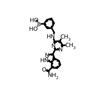 Cc1nc(-c2n[nH]c3c(C(N)=O)cccc23)nc(NCc2cccc(B(O)O)c2)c1C